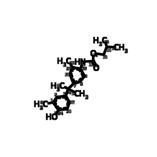 Cc1cc(C(C)(C)c2ccc(NC(=O)OCC(C)C)c(C)c2)ccc1O